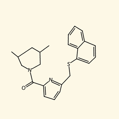 CC1CC(C)CN(C(=O)c2cccc(CSc3cccc4ccccc34)n2)C1